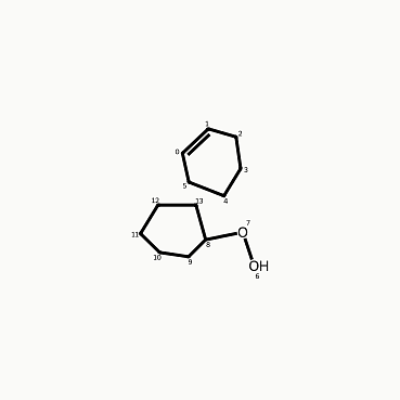 C1=CCCCC1.OOC1CCCCC1